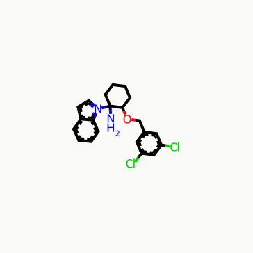 NC1(n2ccc3ccccc32)CCCCC1OCc1cc(Cl)cc(Cl)c1